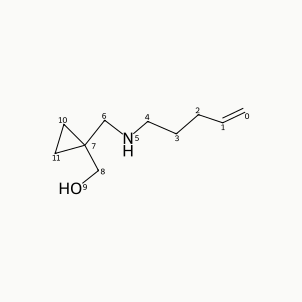 C=CCCCNCC1(CO)CC1